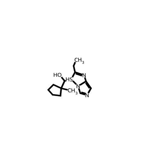 CCC1=Nc2cncn2[SH]1C(O)C1(C)CCCC1